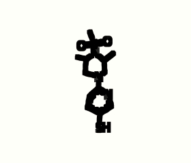 CC1CN(c2ccc(S)cn2)CC(C)N1S(C)(=O)=O